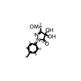 COC1=NN(c2ccc(C)cc2)C(=O)C1(O)O